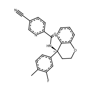 Cc1ccc([C@@]2(NC(=O)c3ccc(C#N)cn3)CCOc3cccnc32)cc1F